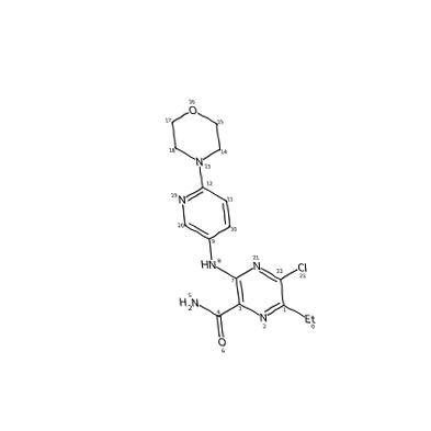 CCc1nc(C(N)=O)c(Nc2ccc(N3CCOCC3)nc2)nc1Cl